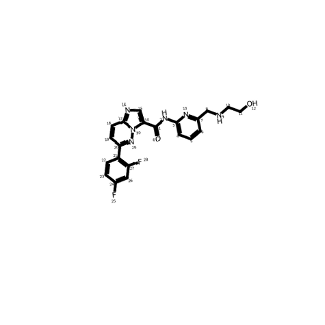 O=C(Nc1cccc(CNCCO)n1)c1cnc2ccc(-c3ccc(F)cc3F)nn12